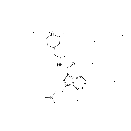 CC1CN(CCNC(=O)n2cc(CCN(C)C)c3ccccc32)CCN1C